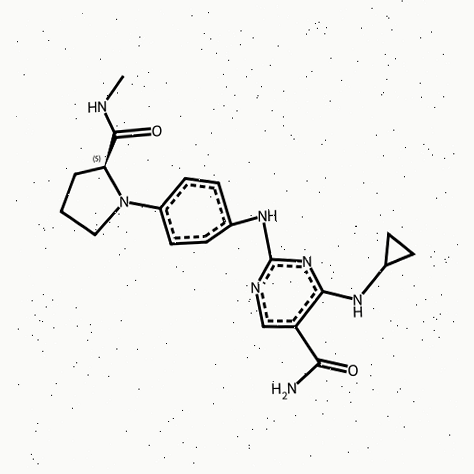 CNC(=O)[C@@H]1CCCN1c1ccc(Nc2ncc(C(N)=O)c(NC3CC3)n2)cc1